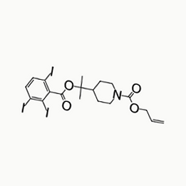 C=CCOC(=O)N1CCC(C(C)(C)OC(=O)c2c(I)ccc(I)c2I)CC1